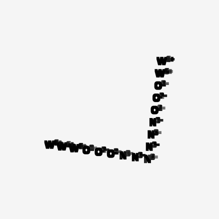 [N-3].[N-3].[N-3].[N-3].[N-3].[N-3].[O-2].[O-2].[O-2].[O-2].[O-2].[O-2].[W+6].[W+6].[W+6].[W+6].[W+6]